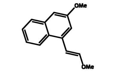 COC=Cc1cc(OC)cc2ccccc12